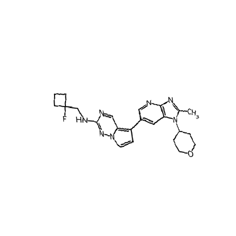 Cc1nc2ncc(-c3ccn4nc(NCC5(F)CCC5)ncc34)cc2n1C1CCOCC1